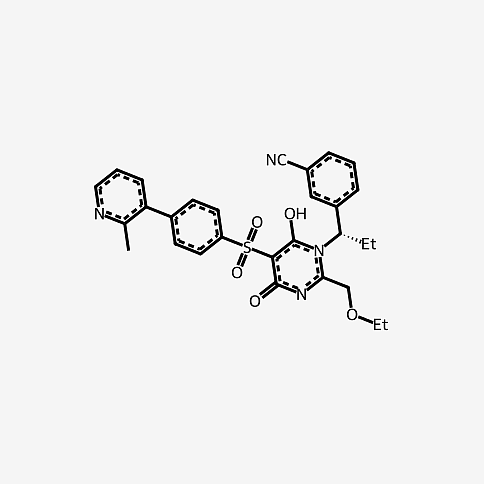 CCOCc1nc(=O)c(S(=O)(=O)c2ccc(-c3cccnc3C)cc2)c(O)n1[C@@H](CC)c1cccc(C#N)c1